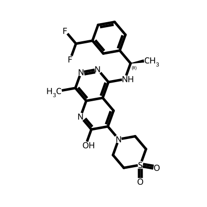 Cc1nnc(N[C@H](C)c2cccc(C(F)F)c2)c2cc(N3CCS(=O)(=O)CC3)c(O)nc12